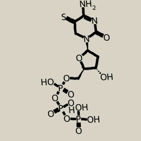 NC1=NC(=O)N([C@H]2C[C@H](O)[C@@H](COP(=O)(O)OP(=O)(O)OP(=O)(O)O)O2)CC1=S